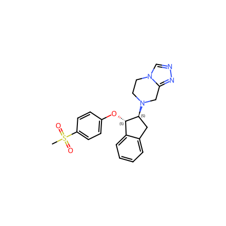 CS(=O)(=O)c1ccc(O[C@H]2c3ccccc3C[C@@H]2N2CCn3cnnc3C2)cc1